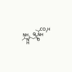 CC(N)NCCS(=O)(=O)N[C@@H](C)C(=O)O